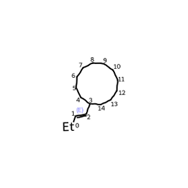 CC/C=C/C1CCCCCCCCCCC1